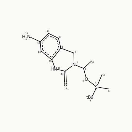 CC(O[Si](C)(C)C(C)(C)C)N1Cc2ccc(N)cc2NC1=O